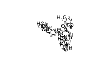 Cc1ccc2onc(C(=O)N3CC[C@H]4CC[C@@H](C(=O)N5C[C@@H]6C[C@H]5CO6)N4C(=O)[C@@H](NC(=O)c4ccc5ccc(C(F)P(=O)(O)O)cc5c4)C3)c2c1